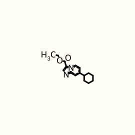 CCOC(=O)c1cnc2cc(C3CCCCC3)ccn12